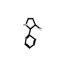 CC(C)C1CCNC1c1ccccc1